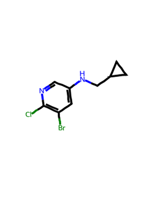 Clc1ncc(NC[C]2CC2)cc1Br